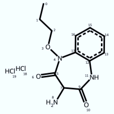 CCCON1C(=O)C(N)C(=O)Nc2ccccc21.Cl.Cl